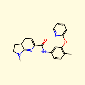 Cc1ccc(NC(=O)C2=CCC3CCN(C)C3=N2)cc1Oc1ccccn1